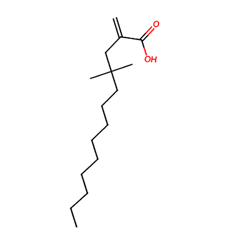 C=C(CC(C)(C)CCCCCCCCC)C(=O)O